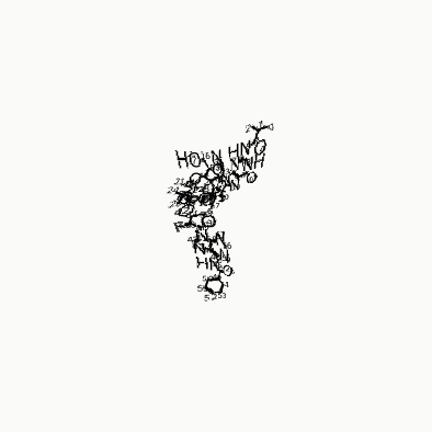 CC(C)C(=O)Nc1nc2c(ncn2[C@@H]2O[C@H](CO)C(O[Si](C)(C)C(C)(C)C)C2OP(=S)(OCCC#N)OC[C@H]2O[C@@H](n3cnc4c(NC(=O)c5ccccc5)ncnc43)C(F)C2O[PH](=O)O)c(=O)[nH]1